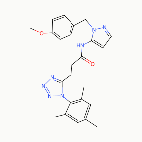 COc1ccc(Cn2nccc2NC(=O)CCc2nnnn2-c2c(C)cc(C)cc2C)cc1